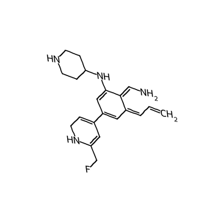 C=C/C=c1/cc(C2=CCNC(CF)=C2)cc(NC2CCNCC2)/c1=C/N